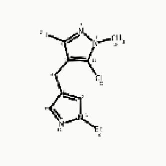 CCn1cc(Cc2c(I)nn(C)c2Cl)cn1